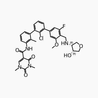 COc1cc(-c2cccc(-c3cccc(NC(=O)c4cn(C)c(=O)n(C)c4=O)c3C)c2Cl)cc(F)c1CN[C@@H]1COC[C@@H]1O